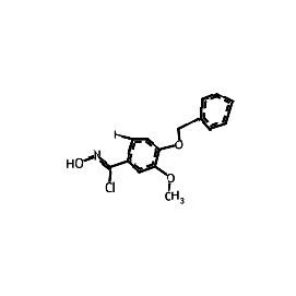 COc1cc(C(Cl)=NO)c(I)cc1OCc1ccccc1